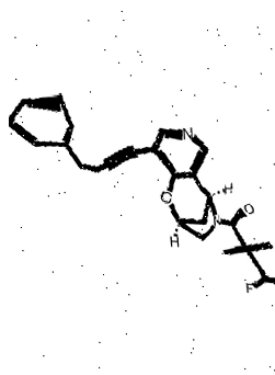 CC(C)(C(=O)N1C[C@@H]2C[C@H]1c1cncc(C#CCc3ccccc3)c1O2)C(F)F